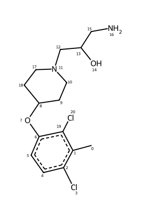 Cc1c(Cl)ccc(OC2CCN(CC(O)CN)CC2)c1Cl